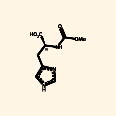 COC(=O)N[C@@H](Cc1c[nH]cn1)C(=O)O